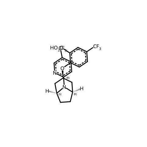 O=C(O)c1cc(C(F)(F)F)ccc1O[C@H]1C[C@H]2CC[C@@H](C1)N2c1ccc(C(F)(F)F)cn1